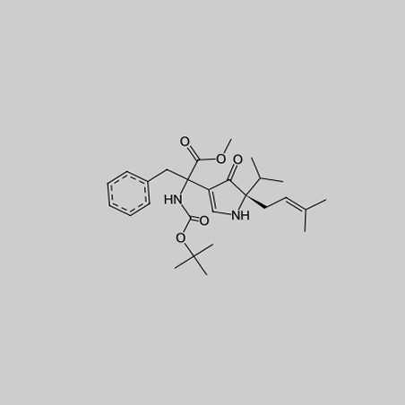 COC(=O)C(Cc1ccccc1)(NC(=O)OC(C)(C)C)C1=CN[C@@](CC=C(C)C)(C(C)C)C1=O